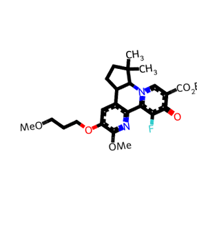 CCOC(=O)c1cn2c(c(F)c1=O)-c1nc(OC)c(OCCCOC)cc1C1CCC(C)(C)C12